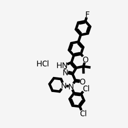 CC1(C)Oc2cc(-c3ccc(F)cc3)ccc2-c2[nH]nc(C(=O)N(c3ccc(Cl)cc3Cl)N3CCCCC3)c21.Cl